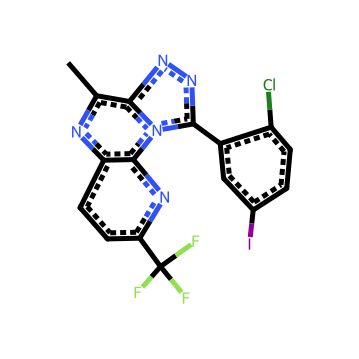 Cc1nc2ccc(C(F)(F)F)nc2n2c(-c3cc(I)ccc3Cl)nnc12